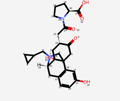 O=C1CC23CN(CC4CC4)[C@H](Cc4ccc(O)cc42)[C@]3(O)C[C@@H]1CC(=O)N1CCC[C@H]1C(=O)O